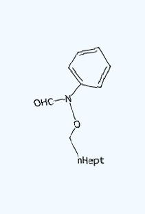 CCCCCCCCON(C=O)c1ccccc1